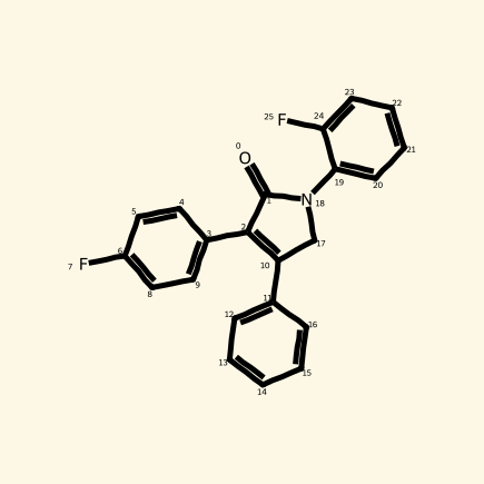 O=C1C(c2ccc(F)cc2)=C(c2ccccc2)CN1c1ccccc1F